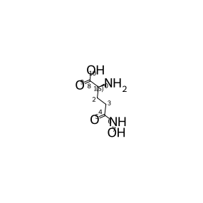 N[C@@H](CCC(=O)NO)C(=O)O